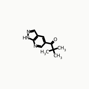 CC(C)(C)C(=O)c1cnc2[nH]ncc2c1